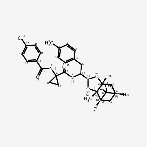 Cc1ccc(C[C@H](NC(=O)C2(NC(=O)c3ccc(Cl)cc3)CC2)B2O[C@@H]3C[C@@H]4C[C@@H](C4(C)C)[C@]3(C)O2)cc1